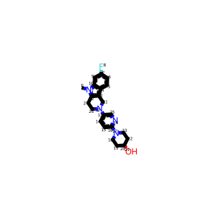 Cn1c2c(c3ccc(F)cc31)CN(c1ccc(N3CCC(O)CC3)nc1)CC2